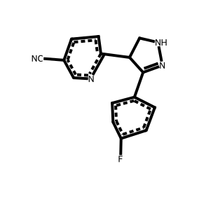 N#Cc1ccc(C2CNN=C2c2ccc(F)cc2)nc1